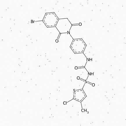 Cc1cc(S(=O)(=O)NC(=O)Nc2ccc(N3C(=O)Cc4ccc(Br)cc4C3=O)cc2)sc1Cl